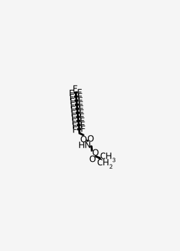 C=C(C)C(=O)OCCNC(=O)OCCC(F)(F)C(F)(F)C(F)(F)C(F)(F)C(F)(F)C(F)(F)C(F)(F)C(F)(F)C(F)(F)C(F)(F)F